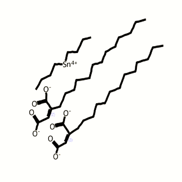 CCCCCCCCCCCCC/C(=C/C(=O)[O-])C(=O)[O-].CCCCCCCCCCCCC/C(=C/C(=O)[O-])C(=O)[O-].CCC[CH2][Sn+4][CH2]CCC